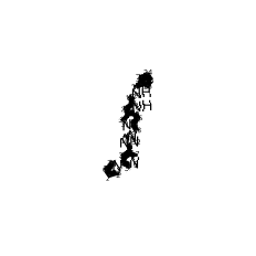 c1ccn(-c2cncc(-c3ncn(Cc4cc5[nH]c(CNCC67CCC(C6)C7)cc5cn4)n3)c2)c1